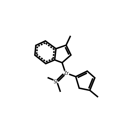 CC1=CC=[C]([Zr]([CH]2C=C(C)c3ccccc32)=[Si](C)C)C1